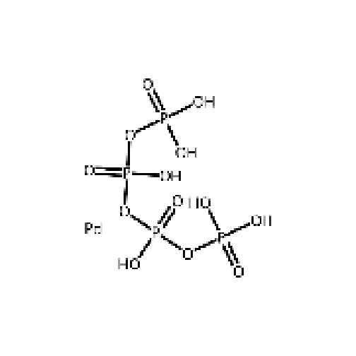 O=P(O)(O)OP(=O)(O)OP(=O)(O)OP(=O)(O)O.[Pd]